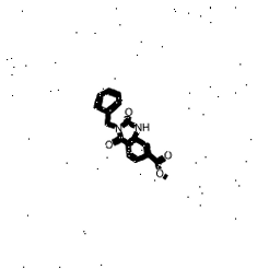 COC(=O)c1ccc2c(=O)n(Cc3ccccc3)c(=O)[nH]c2c1